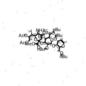 CCCCOCC1O[C@@H](O[C@@H]2C(COCCCC)OC=C[C@H]2OCCCC)[C@@H](OCCCC)C(OC2(C(=O)OC)CC(OC(C)=O)C(NC(C)=O)[C@H]([C@H](I)[C@@H](COC(C)=O)OC(C)=O)O2)[C@H]1O